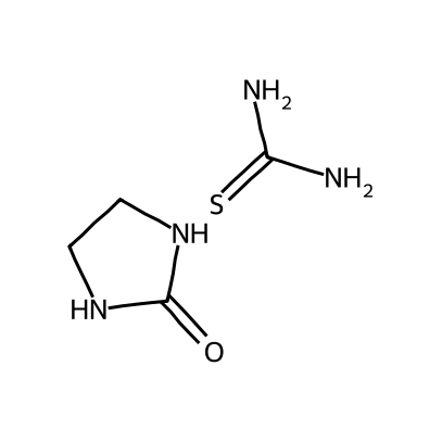 NC(N)=S.O=C1NCCN1